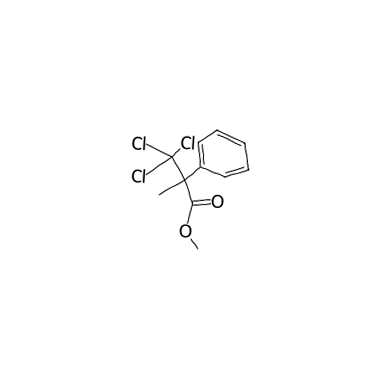 COC(=O)C(C)(c1ccccc1)C(Cl)(Cl)Cl